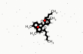 CCCCCC(=O)OC(c1ccc(C)cc1)C(OC(=O)CCCCC)(c1ccc(C)cc1)c1ccc(C)cc1